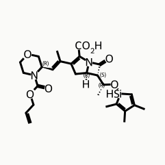 C=CCOC(=O)N1CCOC[C@H]1C=C(C)C1=C(C(=O)O)N2C(=O)[C@H]([C@@H](C)O[SiH]3C=C(C)C(C)=C3C)[C@H]2C1